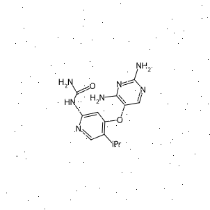 CC(C)c1cnc(NC(N)=O)cc1Oc1cnc(N)nc1N